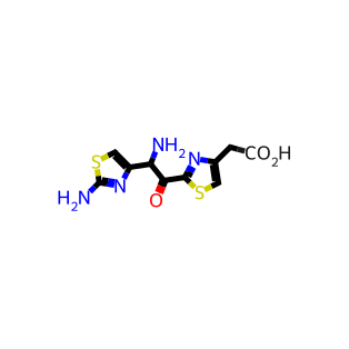 Nc1nc(C(N)C(=O)c2nc(CC(=O)O)cs2)cs1